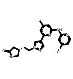 Cc1cc(Nc2cc(C(F)(F)F)ccn2)nc(-c2cnn(CC[C@@H]3CNC(=O)C3)c2)c1